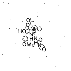 COc1ccc(C(O)=C(NC(=O)[C@H](C)NC(=O)CN2CCOCC2)C(=O)N[C@@H](CC2=CCCC2)C(=O)[C@@]2(C)CO2)cc1